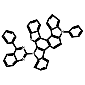 c1ccc(-c2nc(-n3c4ccccc4c4c5ccc6c(c7ccccc7n6-c6ccccc6)c5c5c6ccccc6sc5c43)nc3ccccc23)cc1